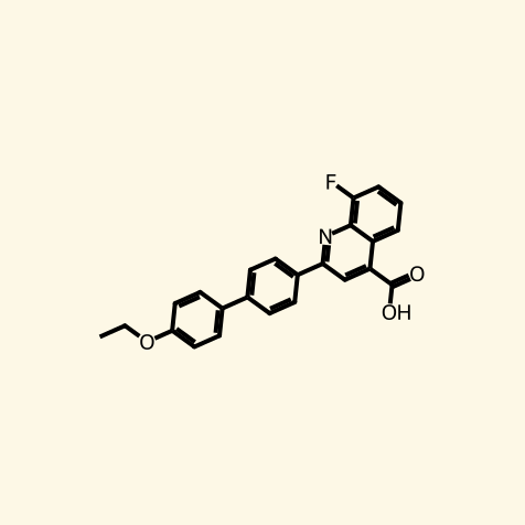 CCOc1ccc(-c2ccc(-c3cc(C(=O)O)c4cccc(F)c4n3)cc2)cc1